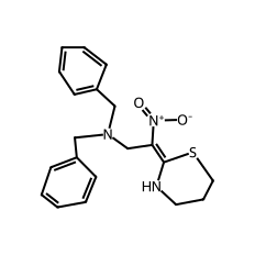 O=[N+]([O-])/C(CN(Cc1ccccc1)Cc1ccccc1)=C1/NCCCS1